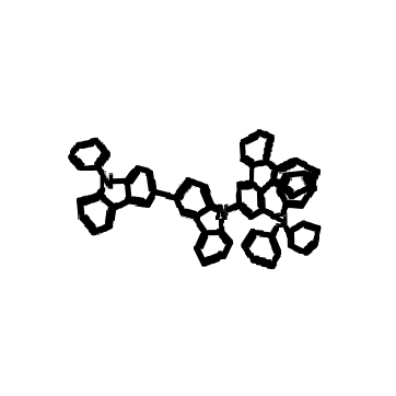 c1ccc(-n2c3ccccc3c3cc(-c4ccc5c(c4)c4ccccc4n5-c4cc([Si](c5ccccc5)(c5ccccc5)c5ccccc5)c5c6ccccc6c6ccccc6c5c4)ccc32)cc1